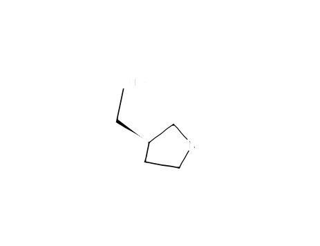 O=CC[C@@H]1CCNC1